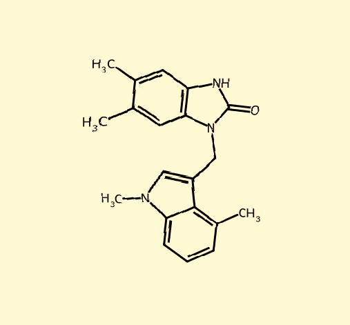 Cc1cc2[nH]c(=O)n(Cc3cn(C)c4cccc(C)c34)c2cc1C